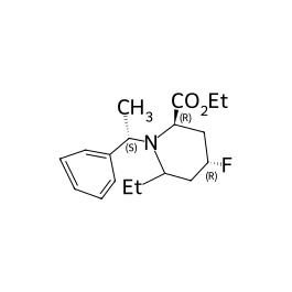 CCOC(=O)[C@H]1C[C@H](F)CC(CC)N1[C@@H](C)c1ccccc1